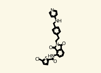 O=C(Nc1cccc2c1C(=O)N(CCc1ccc(CNc3ccncc3)cc1)C2=O)c1ccc(Cl)s1